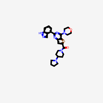 O=C(c1cc2nc(-c3cccc4[nH]ncc34)nc(N3CCOCC3)c2s1)N1CCC(N2CCCC2)CC1